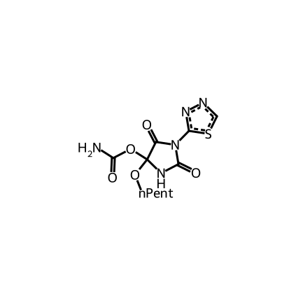 CCCCCOC1(OC(N)=O)NC(=O)N(c2nncs2)C1=O